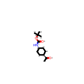 CC(=O)[C@H]1CC[C@H](NC(=O)OC(C)(C)C)CC1